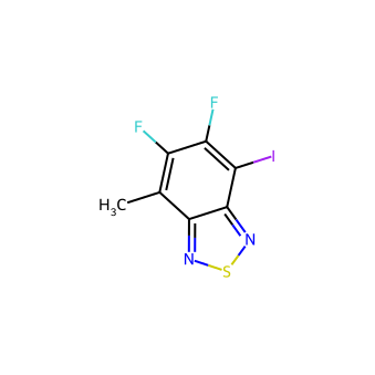 Cc1c(F)c(F)c(I)c2nsnc12